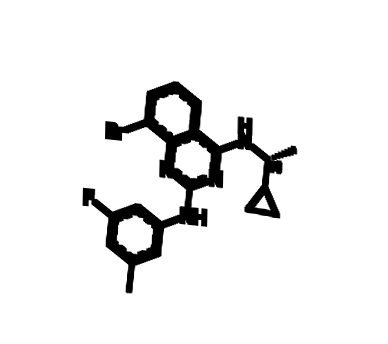 Cc1cc(F)cc(Nc2nc(N[C@H](C)C3CC3)c3cccc(Br)c3n2)c1